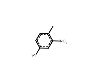 CCCc1ccc(C)c([N+](=O)[O-])c1